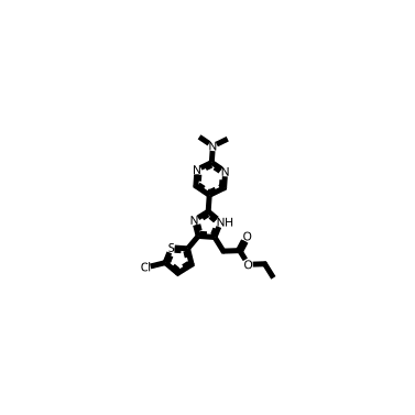 CCOC(=O)Cc1[nH]c(-c2cnc(N(C)C)nc2)nc1-c1ccc(Cl)s1